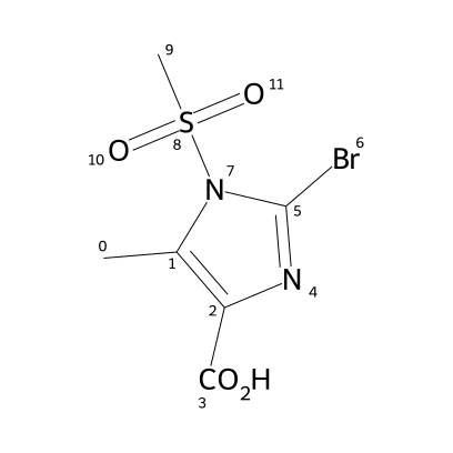 Cc1c(C(=O)O)nc(Br)n1S(C)(=O)=O